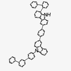 c1ccc(-c2cccc(-c3ccc(-n4c5ccccc5c5cc(-c6ccc(-c7ccc8[nH]c9c(-c%10ccccc%10-c%10ccccc%10)cccc9c8c7)cc6)ccc54)cc3)c2)cc1